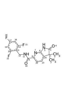 CC1(C)C(=O)Nc2nc(C(=O)NCc3c(F)cc(F)cc3F)ccc21